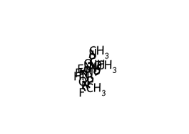 COc1ccccc1N(NC(=O)C1CCN(C)CC1)c1ncc(C(F)(F)F)c(Nc2cccc3c2C(=O)N(CCF)C3C)n1